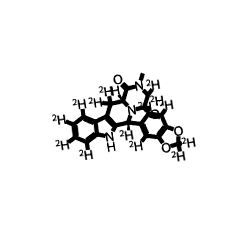 [2H]c1c([2H])c([C@]2([2H])c3[nH]c4c([2H])c([2H])c([2H])c([2H])c4c3C([2H])([2H])[C@@H]3C(=O)N(C)C([2H])([2H])C(=O)N32)c([2H])c2c1OC([2H])([2H])O2